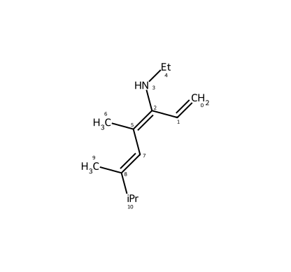 C=C/C(NCC)=C(C)\C=C(/C)C(C)C